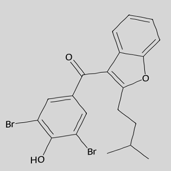 CC(C)CCc1oc2ccccc2c1C(=O)c1cc(Br)c(O)c(Br)c1